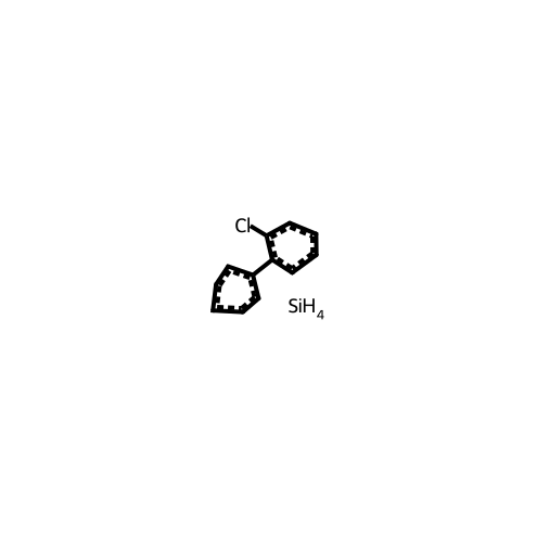 Clc1ccccc1-c1ccccc1.[SiH4]